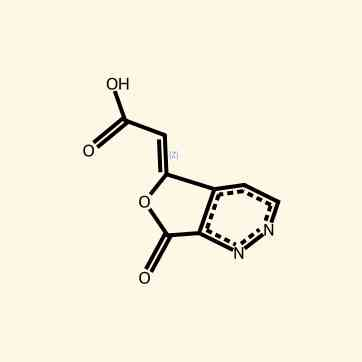 O=C(O)/C=C1\OC(=O)c2nnccc21